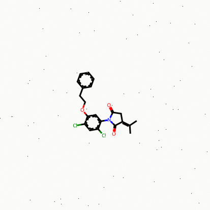 CC(C)=C1CC(=O)N(c2cc(OCCc3ccccc3)c(Cl)cc2Cl)C1=O